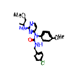 COCC(C)Nc1nccc(N(C(=O)NCc2ccc(Cl)cc2)c2ccc(OC)cc2)n1